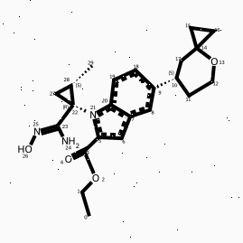 CCOC(=O)c1cc2cc([C@H]3CCOC4(CC4)C3)ccc2n1[C@]1(C(N)=NO)C[C@@H]1C